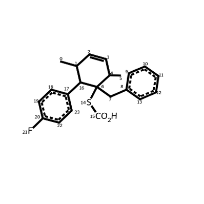 CC1C=CC(C)C(Cc2ccccc2)(SC(=O)O)C1c1ccc(F)cc1